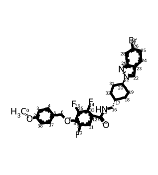 COc1ccc(COc2c(F)cc(C(=O)NC[C@H]3CC[C@H](n4cc5ccc(Br)cc5n4)CC3)c(F)c2F)cc1